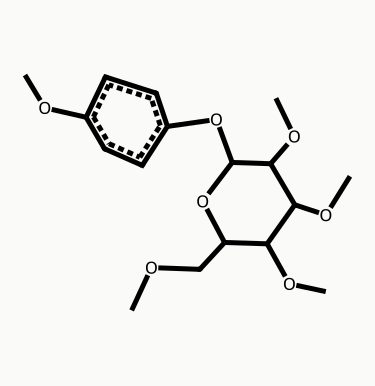 COCC1OC(Oc2ccc(OC)cc2)C(OC)C(OC)C1OC